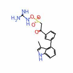 Cc1c[nH]c2cccc(-c3cccc(C(=O)CS(=O)(=O)ONC(=N)N)c3)c12